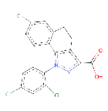 O=C(O)c1nn(-c2ccc(Cl)cc2Cl)c2c1CCc1cc(Cl)ccc1-2